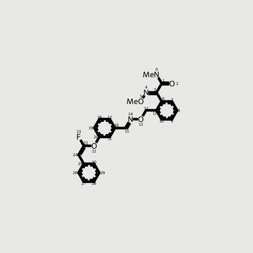 CNC(=O)/C(=N/OC)c1ccccc1CO/N=C/c1cccc(O/C(F)=C\c2ccccc2)c1